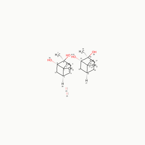 CC1(C)[C@H]2CC[C@](C)(O)[C@]1(O)C2.CC1(C)[C@H]2CC[C@](C)(O)[C@]1(O)C2.[B].[B]